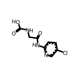 O=C(O)NCC(=O)Nc1ccc(Cl)cn1